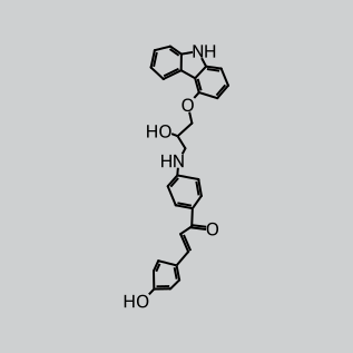 O=C(C=Cc1ccc(O)cc1)c1ccc(NCC(O)COc2cccc3[nH]c4ccccc4c23)cc1